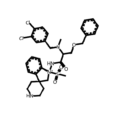 CN(Cc1ccc(Cl)c(Cl)c1)C(COCc1ccccc1)C(=O)N[N+]1(S(C)(=O)=O)CC2(CCNCC2)c2ccccc21